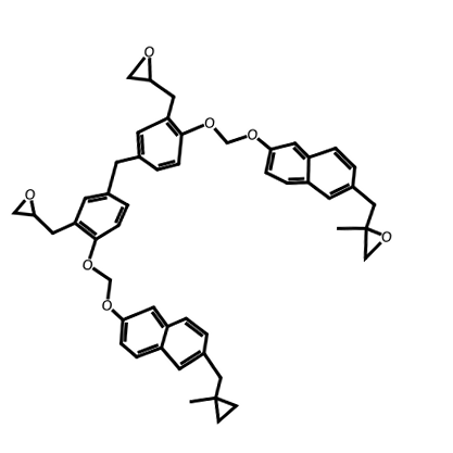 CC1(Cc2ccc3cc(OCOc4ccc(Cc5ccc(OCOc6ccc7cc(CC8(C)CO8)ccc7c6)c(CC6CO6)c5)cc4CC4CO4)ccc3c2)CC1